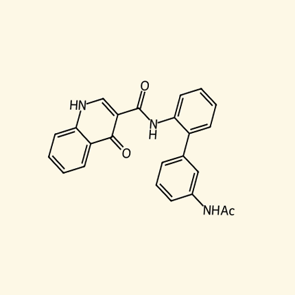 CC(=O)Nc1cccc(-c2ccccc2NC(=O)c2c[nH]c3ccccc3c2=O)c1